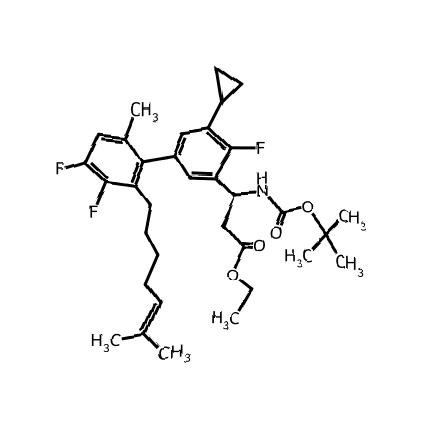 CCOC(=O)C[C@H](NC(=O)OC(C)(C)C)c1cc(-c2c(C)cc(F)c(F)c2CCCCC=C(C)C)cc(C2CC2)c1F